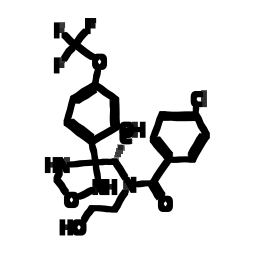 O=C(c1ccc(Cl)cc1)N(CCO)[C@@H](CO)C1(c2ccc(OC(F)(F)F)cc2)NCON1